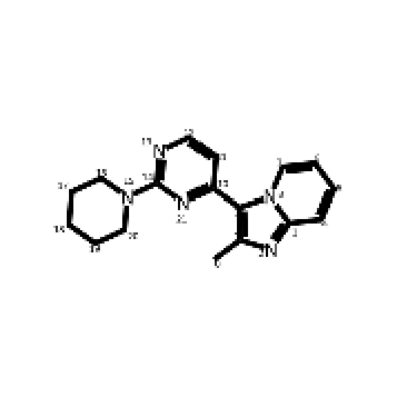 Cc1nc2ccccn2c1-c1ccnc(N2CCCCC2)n1